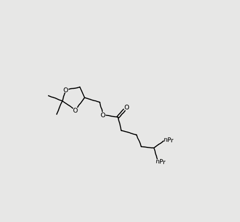 CCCC(CCC)CCCC(=O)OCC1COC(C)(C)O1